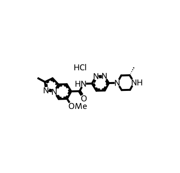 COc1cn2nc(C)cc2cc1C(=O)Nc1ccc(N2CCN[C@@H](C)C2)nn1.Cl